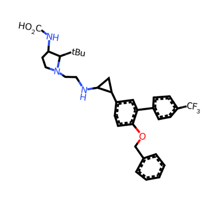 CC(C)(C)C1C(NC(=O)O)CCN1CCNC1CC1c1ccc(OCc2ccccc2)c(-c2ccc(C(F)(F)F)cc2)c1